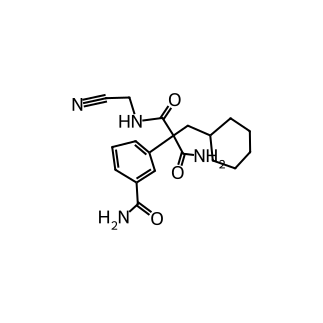 N#CCNC(=O)C(CC1CCCCC1)(C(N)=O)c1cccc(C(N)=O)c1